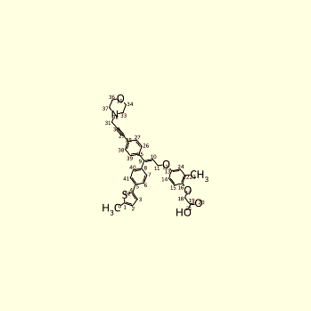 Cc1ccc(-c2ccc(/C(=C\COc3ccc(OCC(=O)O)c(C)c3)c3ccc(C#CCN4CCOCC4)cc3)cc2)s1